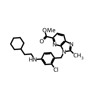 COC(=O)c1ccc2nc(C)n(Cc3ccc(NCCC4CCCCC4)cc3Cl)c2n1